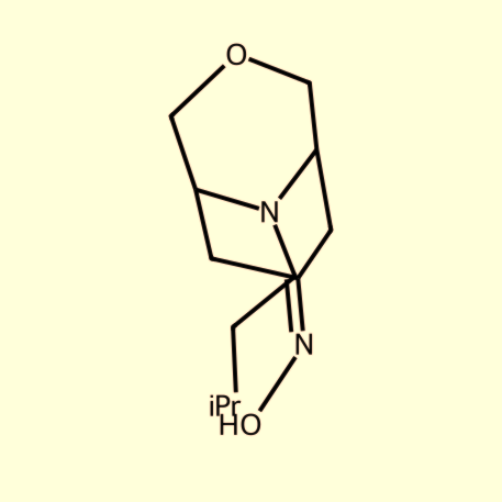 CC(C)CCN1C2COCC1CC(=NO)C2